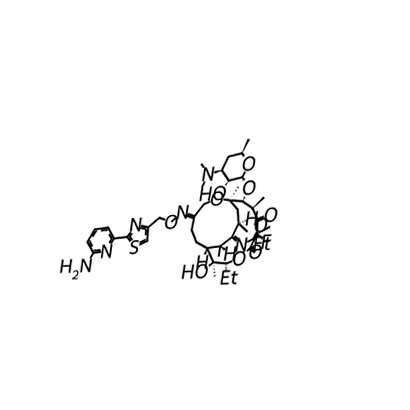 CCC(=O)/N=C1\[C@H](C)C[C@@]2(C)OC/C(=N/OCc3csc(-c4cccc(N)n4)n3)CC[C@H]([C@H]1C)[C@](C)(O)[C@@H](CC)OC(=O)[C@@](C)(F)C(=O)[C@H](C)[C@H]2O[C@@H]1O[C@H](C)C[C@H](N(C)C)[C@H]1O